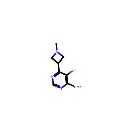 COc1ncnc(C2CN(C)C2)c1Br